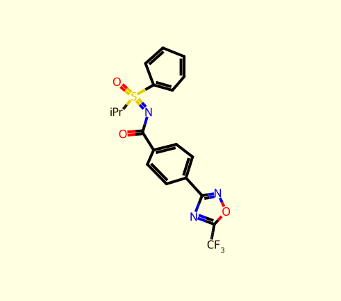 CC(C)S(=O)(=NC(=O)c1ccc(-c2noc(C(F)(F)F)n2)cc1)c1ccccc1